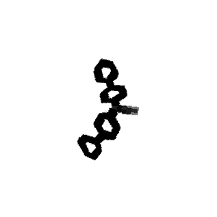 [LiH].c1ccc(-c2ccc(Oc3ccc(-c4ccccc4)cc3)cc2)cc1